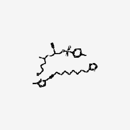 C#CC(CCC(C)CCCBr)COS(=O)(=O)c1ccc(C)cc1.Cc1ccc(C#CCCCCCCCCc2cccs2)s1